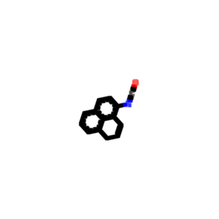 O=C=Nc1ccc2cccc3c2c1C=CC3